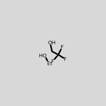 CCO.OCC(F)(F)F